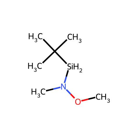 CON(C)[SiH2]C(C)(C)C